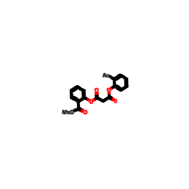 COC(=O)c1ccccc1OC(=O)CC(=O)Oc1ccccc1C(C)=O